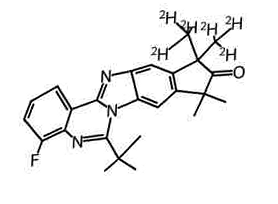 [2H]C([2H])([2H])C1(C([2H])([2H])[2H])C(=O)C(C)(C)c2cc3c(cc21)nc1c2cccc(F)c2nc(C(C)(C)C)n31